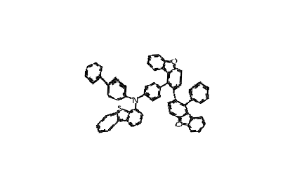 c1ccc(-c2ccc(N(c3ccc(-c4c(-c5ccc6oc7ccccc7c6c5-c5ccccc5)ccc5oc6ccccc6c45)cc3)c3cccc4c3sc3ccccc34)cc2)cc1